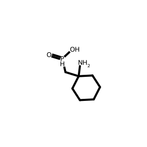 NC1(C[PH](=O)O)CCCCC1